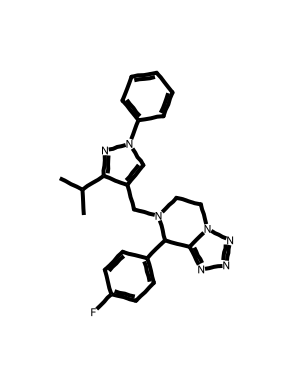 CC(C)c1nn(-c2ccccc2)cc1CN1CCn2nnnc2C1c1ccc(F)cc1